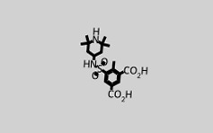 Cc1c(C(=O)O)cc(C(=O)O)cc1S(=O)(=O)NC1CC(C)(C)NC(C)(C)C1